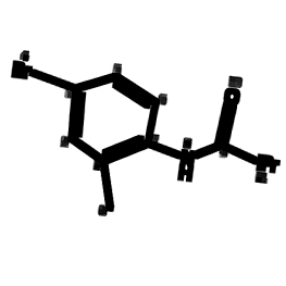 Cc1cc(Br)ccc1NC(=O)C(C)C